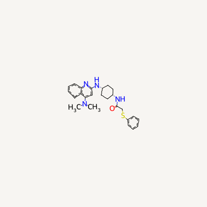 CN(C)c1cc(N[C@H]2CC[C@@H](NC(=O)CSc3ccccc3)CC2)nc2ccccc12